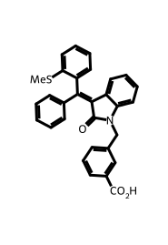 CSc1ccccc1/C(=C1/C(=O)N(Cc2cccc(C(=O)O)c2)c2ccccc21)c1ccccc1